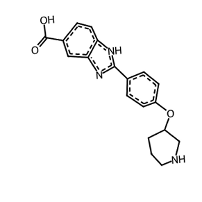 O=C(O)c1ccc2[nH]c(-c3ccc(OC4CCCNC4)cc3)nc2c1